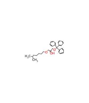 CC(C)CCCCCOC[C@@H](O)COC(c1ccccc1)(c1ccccc1)c1ccccc1